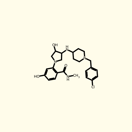 CNC(=O)c1ccc(O)cc1N1CC(O)C(NC2CCN(Cc3ccc(Cl)cc3)CC2)C1